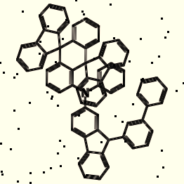 c1ccc(-c2cccc(C3c4ccccc4-c4ccc(N(c5ccccc5)c5cccc6c5C5(c7ccccc7-c7ccccc75)c5ccccc5C65c6ccccc6-c6ccccc65)cc43)c2)cc1